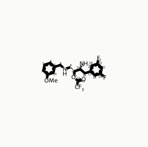 COc1cccc(CNC[C@@H](OC(=O)C(F)(F)F)[C@@H](N)Cc2cc(F)cc(F)c2)c1